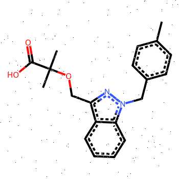 Cc1ccc(Cn2nc(COC(C)(C)C(=O)O)c3ccccc32)cc1